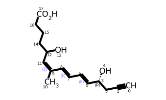 C#CC[C@@H](O)/C=C/C=C/C(C)=C\C(O)CCCC(=O)O